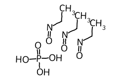 CCN=O.CCN=O.CCN=O.O=P(O)(O)O